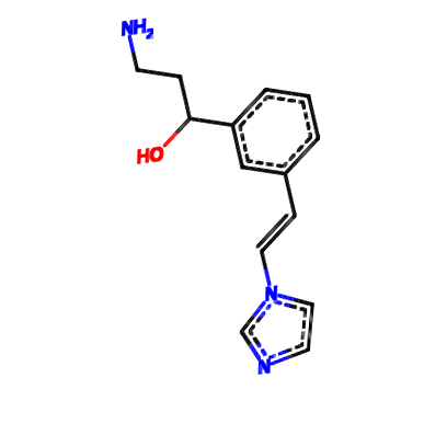 NCCC(O)c1cccc(C=Cn2ccnc2)c1